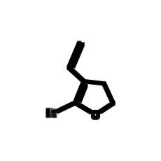 C=CC1=C(CC)OCC1